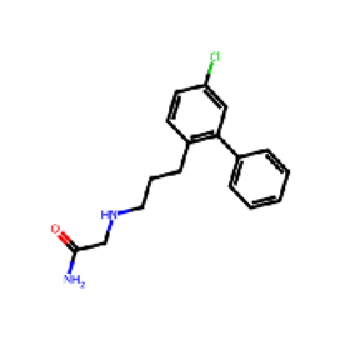 NC(=O)CNCCCc1ccc(Cl)cc1-c1ccccc1